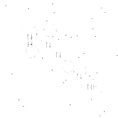 C=CN(C(=O)N(N)C(C)C)c1ccc(N2CCN(C(C(=O)NC(C)C)(c3ccccc3)c3ccccc3)CC2)cc1